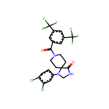 O=C(c1cc(C(F)(F)F)cc(C(F)(F)F)c1)N1CCC2(CC1)C(=O)NCN2c1ccc(Cl)c(Cl)c1